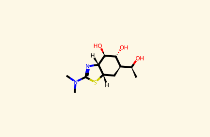 C[C@H](O)[C@H]1C[C@@H]2SC(N(C)C)=N[C@@H]2[C@@H](O)[C@@H]1O